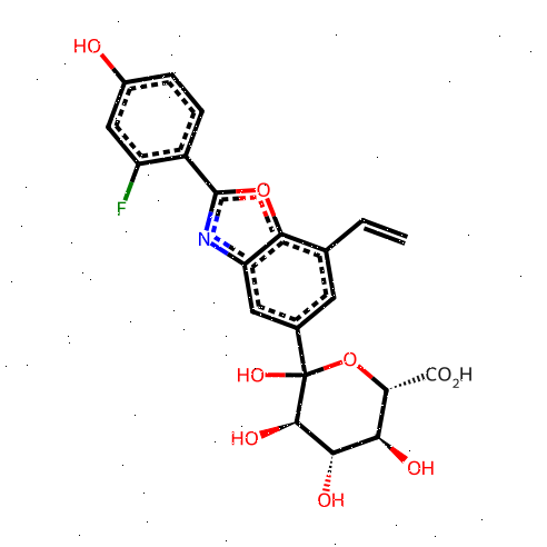 C=Cc1cc(C2(O)O[C@H](C(=O)O)[C@@H](O)[C@H](O)[C@H]2O)cc2nc(-c3ccc(O)cc3F)oc12